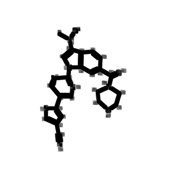 C[S+]([O-])c1cn(-c2ncc(-c3cc(C#N)cs3)cn2)c2cc(C(=O)N3CCOCC3)ccc12